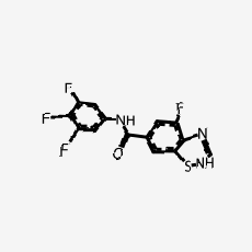 O=C(Nc1cc(F)c(F)c(F)c1)c1cc(F)c2c(c1)SNC=N2